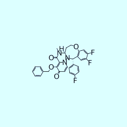 CN1C(=O)c2c(OCc3ccccc3)c(=O)ccn2N2[C@@H](c3ccc(F)cc3)c3cc(F)c(F)cc3OCC[C@H]12